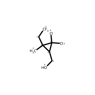 CC1(CC(F)(F)F)C(CO)C1(Cl)Cl